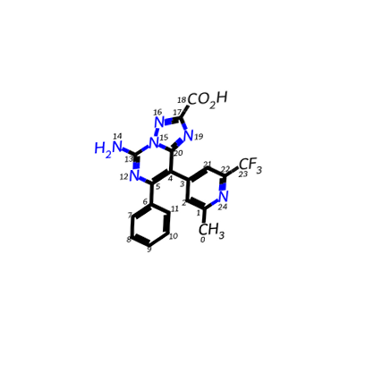 Cc1cc(-c2c(-c3ccccc3)nc(N)n3nc(C(=O)O)nc23)cc(C(F)(F)F)n1